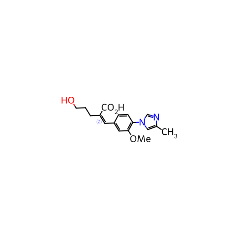 COc1cc(/C=C(/CCCO)C(=O)O)ccc1-n1cnc(C)c1